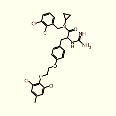 Cc1cc(Cl)c(OCCOc2ccc(CC(NC(=N)N)C(=O)N(Cc3cccc(Cl)c3Cl)C3CC3)cc2)c(Cl)c1